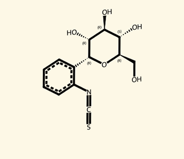 OC[C@H]1O[C@H](c2ccccc2N=C=S)[C@H](O)[C@@H](O)[C@@H]1O